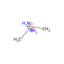 CCCCCCCCCCc1ccc(C(N)=O)c(CCCCCCCCCC)c1C(N)=O